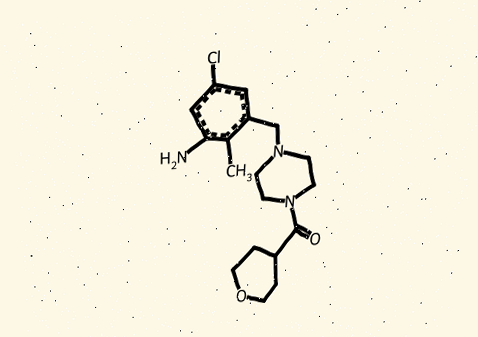 Cc1c(N)cc(Cl)cc1CN1CCN(C(=O)C2CCOCC2)CC1